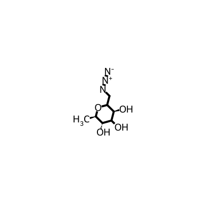 C[C@H]1OC(CN=[N+]=[N-])[C@@H](O)C(O)[C@@H]1O